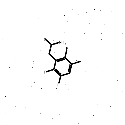 Cc1cc(F)c(F)c(CC(C)N)c1F